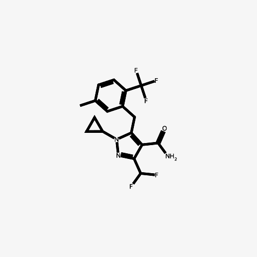 Cc1ccc(C(F)(F)F)c(Cc2c(C(N)=O)c(C(F)F)nn2C2CC2)c1